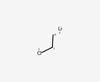 CCCl.[Li]